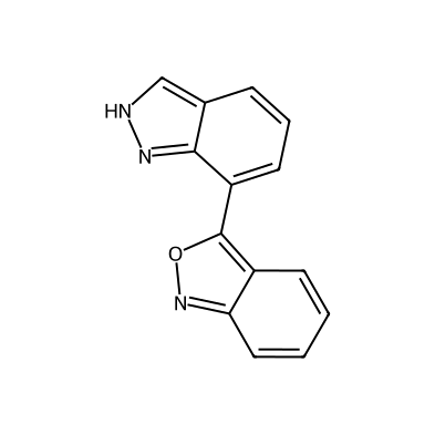 c1cc(-c2onc3ccccc23)c2n[nH]cc2c1